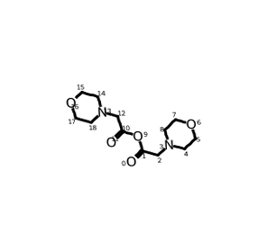 O=C(CN1CCOCC1)OC(=O)CN1CCOCC1